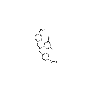 COc1ccc(CN(Cc2ccc(OC)cc2)c2cc(F)cc(Br)c2)cc1